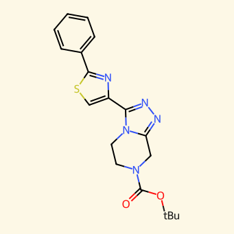 CC(C)(C)OC(=O)N1CCn2c(nnc2-c2csc(-c3ccccc3)n2)C1